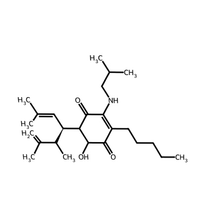 C=C(C)C(C)[C@@H](C=C(C)C)C1C(=O)C(NCC(C)C)=C(CCCCC)C(=O)C1O